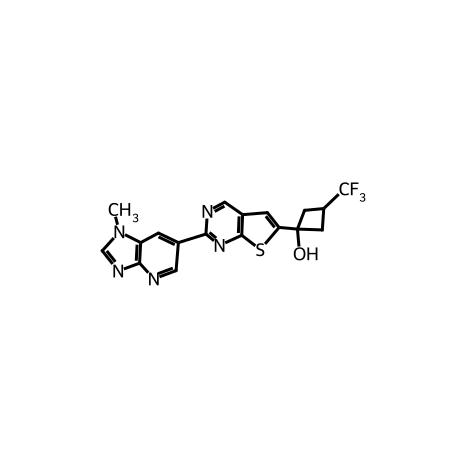 Cn1cnc2ncc(-c3ncc4cc(C5(O)CC(C(F)(F)F)C5)sc4n3)cc21